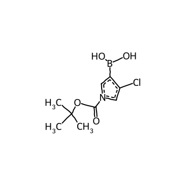 CC(C)(C)OC(=O)n1cc(Cl)c(B(O)O)c1